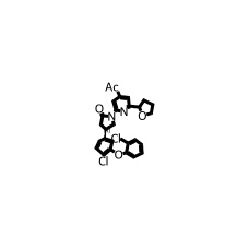 CC(=O)c1cc(C2CCCO2)nc(N2C[C@@H](c3ccc(Cl)c(Oc4ccccc4Cl)c3)CC2=O)c1